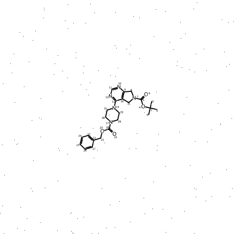 CC(C)(C)OC(=O)N1Cc2ncnc(N3CCN(C(=O)OCc4ccccc4)CC3)c2C1